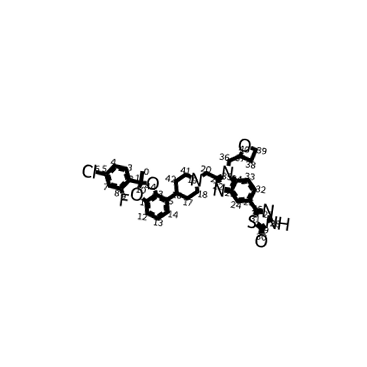 CC1(c2ccc(Cl)cc2F)Oc2cccc(C3CCN(Cc4nc5cc(-c6n[nH]c(=O)s6)ccc5n4CC4CCO4)CC3)c2O1